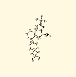 CC(C)n1nc(C(F)(F)F)cc1[C@@H]1CCC[C@@H](N2CCC3(CC2)CS(=O)(=O)C3)C1